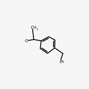 CC(C)Cc1ccc(C(C)[O])cc1